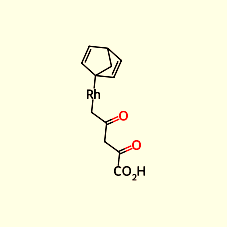 O=C([CH2][Rh][C]12C=CC(C=C1)C2)CC(=O)C(=O)O